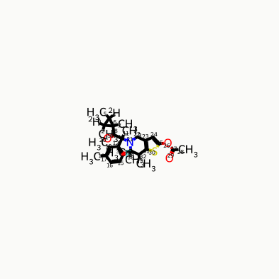 [2H]C1(C)C([2H])(C)C1(C)C(=O)C(C)(c1c(F)ccc(C)c1C)N1Cc2cc(OC(C)=O)sc2C(C)C1(C)C